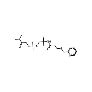 CC(C)C(=O)CCC(C)(C)OCC(C)(C)NC(=O)CCSSc1ccccn1